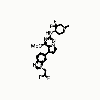 COc1nc(N[C@@H]2CCN(C)CC2(F)F)nn2ccc(-c3ccc4ncn(CC(F)F)c4c3)c12